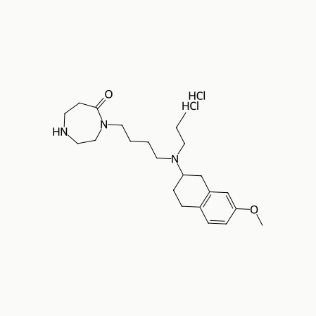 CCCN(CCCCN1CCNCCC1=O)C1CCc2ccc(OC)cc2C1.Cl.Cl